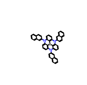 c1cc2c3c(c1)N(c1ccc4ccccc4c1)c1cccc4c1B3c1c(cccc1N4c1ccc3ccccc3c1)N2c1ccc2ccccc2c1